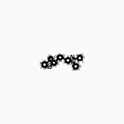 c1ccc(-c2nc3cc(-c4cccc(-c5ccc6c7c(cccc57)-c5ccccc5O6)c4)ccc3n2-c2ccccc2)cc1